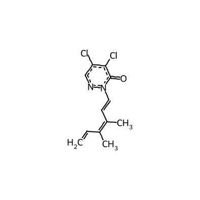 C=C/C(C)=C(C)\C=C\n1ncc(Cl)c(Cl)c1=O